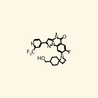 Cn1c(=O)c2cc(F)c(N3CCC34CCC(CO)CC4)cc2n2nc(-c3ccnc(C(F)(F)F)c3)cc12